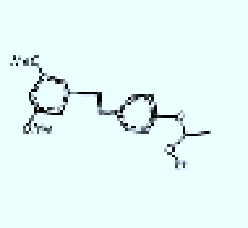 CCOC(C)Oc1ccc(C=Cc2cc(OC)cc(OC)c2)cc1